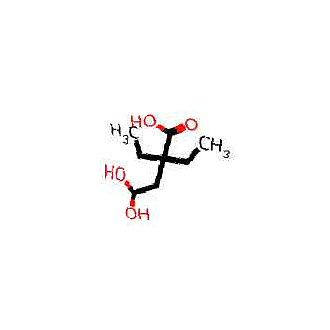 CCC(CC)(CC(O)O)C(=O)O